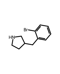 Brc1ccccc1CC1CCNC1